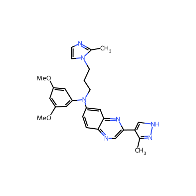 COc1cc(OC)cc(N(CCCn2ccnc2C)c2ccc3ncc(-c4c[nH]nc4C)nc3c2)c1